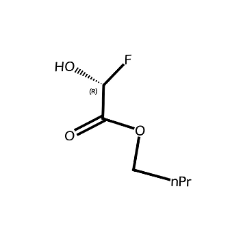 CCCCOC(=O)[C@H](O)F